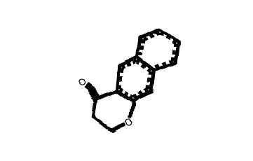 O=C1CCOc2cc3ccccc3cc21